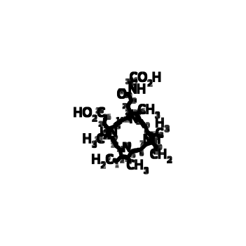 C=CC1=C(C)c2cc3[nH]c(cc4nc(cc5[nH]c(cc1n2)c(C)c5CCC(=O)O)C(CCC(=O)NCC(=O)O)=C4C)c(C)c3C=C